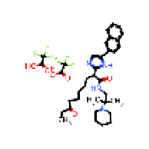 CCC(=O)CCCCCC(C(=O)NCC(C)(C)N1CCCCC1)c1ncc(-c2ccc3ccccc3c2)[nH]1.O=C(O)C(F)(F)F.O=C(O)C(F)(F)F